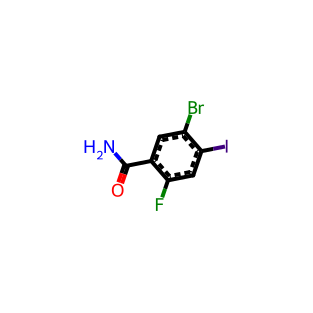 NC(=O)c1cc(Br)c(I)cc1F